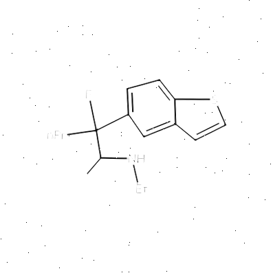 CCCC(F)(c1ccc2sccc2c1)C(C)NCC